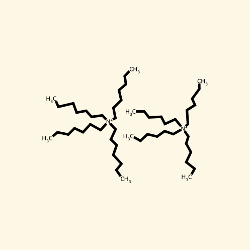 CCCCCCC[N+](CCCCCCC)(CCCCCCC)CCCCCCC.CCCCCC[N+](CCCCCC)(CCCCCC)CCCCCC